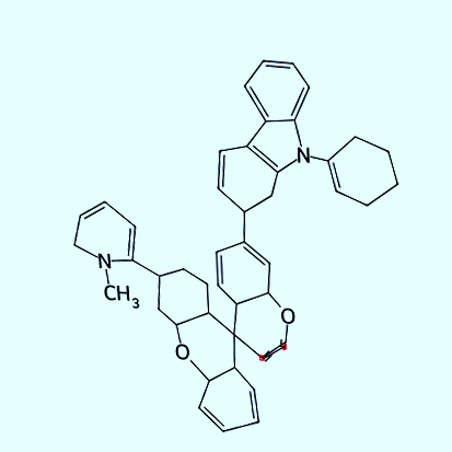 CN1CC=CC=C1C1CCC2C(C1)OC1C=CC=CC1C21C2=CCCC=C2OC2C=C(C3C=Cc4c(n(C5=CCCCC5)c5ccccc45)C3)C=CC21